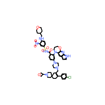 O=C(NS(=O)(=O)c1ccc(NCC2CCOCC2)c([N+](=O)[O-])c1)c1ccc(N2CCN(CC3=C(c4ccc(Cl)cc4)CCC4(CCN(C5COC5)CC4)C3)CC2)cc1N1CCCOc2nc3[nH]ccc3cc21